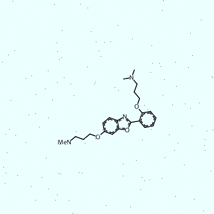 CNCCCOc1ccc2nc(-c3ccccc3OCCCN(C)C)oc2c1